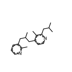 Cc1ncccc1CC(C)Cc1ccnc(CC(C)C)c1C